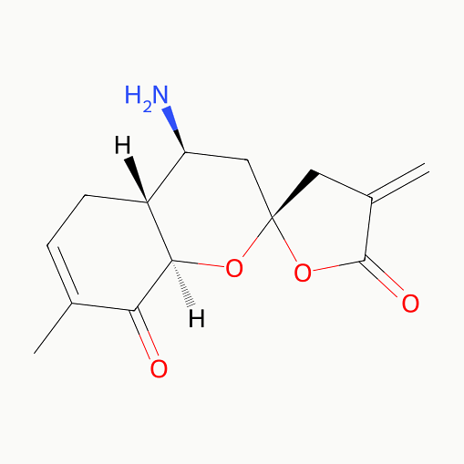 C=C1C[C@@]2(C[C@H](N)[C@H]3CC=C(C)C(=O)[C@@H]3O2)OC1=O